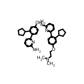 CN(C)CCOc1ccc(-c2cccc(N)n2)c(C2CCCC2)c1.Nc1cccc(-c2ccc(O)cc2C2CCCC2)n1